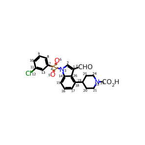 O=Cc1cn(S(=O)(=O)c2cccc(Cl)c2)c2cccc(C3CCN(C(=O)O)CC3)c12